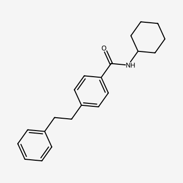 O=C(NC1CCCCC1)c1ccc(CCc2ccccc2)cc1